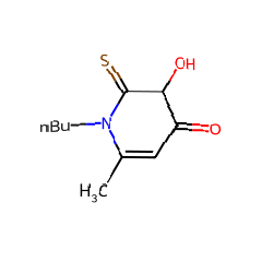 CCCCN1C(=S)C(O)C(=O)C=C1C